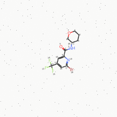 O=C(N[C@@H]1CCCOC1)c1cc(C(F)(F)F)cc(Br)n1